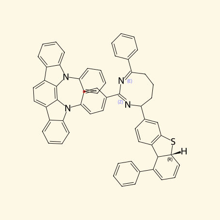 C1=C[C@H]2Sc3cc(C4CCC/C(c5ccccc5)=N\C(c5ccc(-n6c7ccccc7c7ccc8c9ccccc9n(-c9ccccc9)c8c76)cc5)=N/4)ccc3C2C(c2ccccc2)=C1